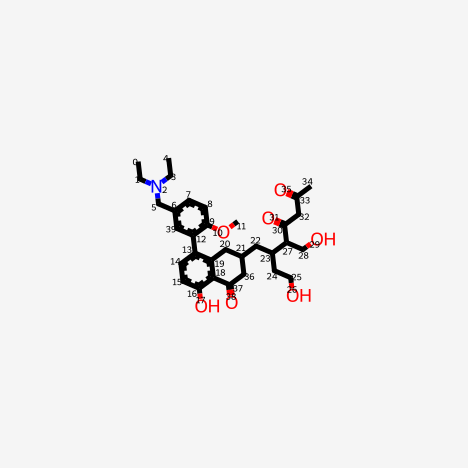 CCN(CC)Cc1ccc(OC)c(-c2ccc(O)c3c2CC(CC(CCO)C(CO)C(=O)CC(C)=O)CC3=O)c1